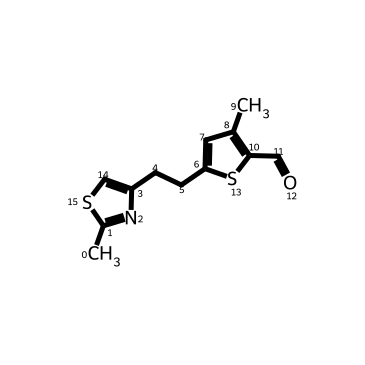 Cc1nc(CCc2cc(C)c(C=O)s2)cs1